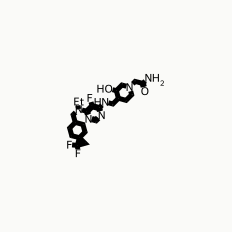 CCN(CC1CCC2(CC1)CC2(F)F)c1ncnc(NCC2CCN(CC(N)=O)CC2O)c1F